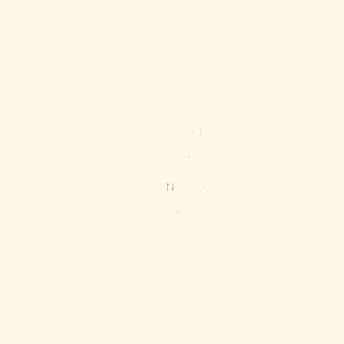 Cl.[O-][N+]1([O-])C=CC=CS1